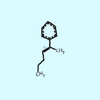 CCC/C=C(\C)c1ccccc1